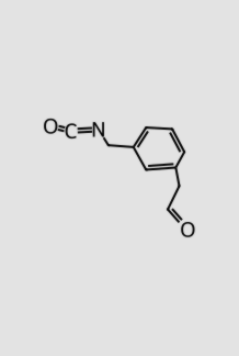 O=C=NCc1cccc(CC=O)c1